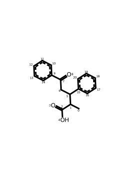 CC(C(=O)O)C(CC(=O)c1ccccc1)c1ccccc1